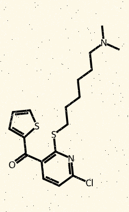 CN(C)CCCCCCSc1nc(Cl)ccc1C(=O)c1cccs1